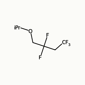 CC(C)OCC(F)(F)CC(F)(F)F